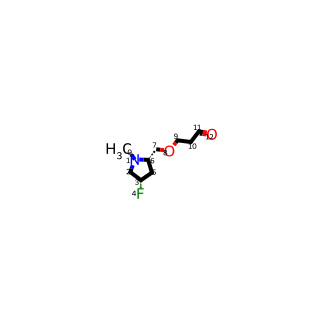 CN1C[C@@H](F)C[C@H]1COCCC=O